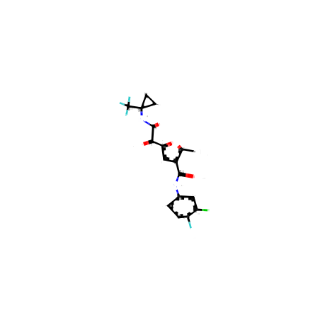 Cc1oc(C(=O)C(=O)NC2(C(F)(F)F)CC2)cc1C(=O)Nc1ccc(F)c(Cl)c1